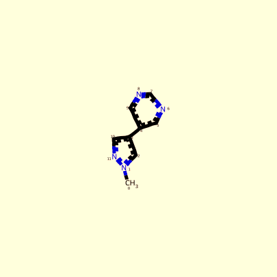 Cn1cc(-c2cncnc2)cn1